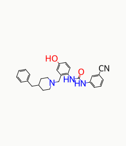 N#Cc1cccc(NC(=O)Nc2ccc(O)cc2CN2CCC(Cc3ccccc3)CC2)c1